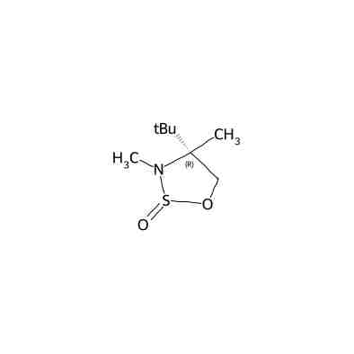 CN1S(=O)OC[C@@]1(C)C(C)(C)C